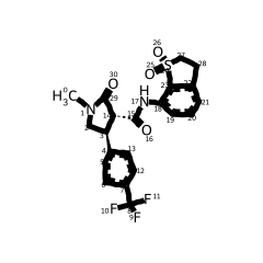 CN1C[C@H](c2ccc(C(F)(F)F)cc2)[C@@H](C(=O)Nc2cccc3c2S(=O)(=O)CC3)C1=O